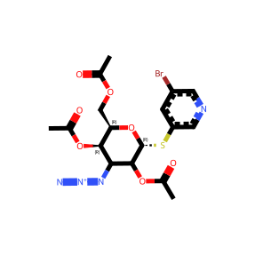 CC(=O)OC[C@H]1O[C@H](Sc2cncc(Br)c2)C(OC(C)=O)C(N=[N+]=[N-])[C@H]1OC(C)=O